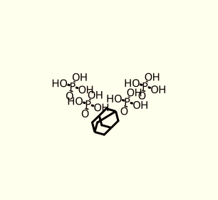 C1C2CC3CC1CC(C2)C3.O=P(O)(O)O.O=P(O)(O)O.O=P(O)(O)O.O=P(O)(O)O